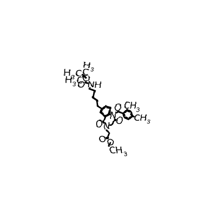 CCOC(=O)CCN1CC(=O)N(C(=O)c2ccc(C)cc2C)c2ccc(CCCCCNC(=O)OC(C)(C)C)cc2C1=O